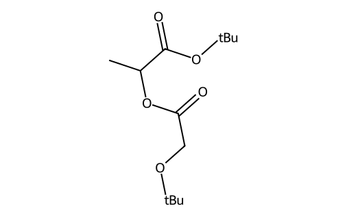 CC(OC(=O)COC(C)(C)C)C(=O)OC(C)(C)C